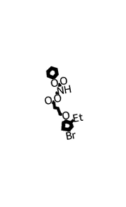 CCc1cc(Br)ccc1OCCCC(=O)OCNC(=O)Oc1ccccc1